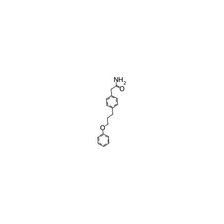 NC(=O)Cc1ccc(CCCOc2ccccc2)cc1